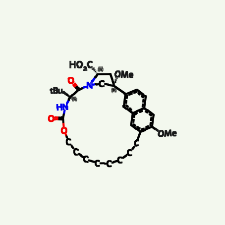 COc1cc2ccc3cc2cc1CCCCCCCCOC(=O)N[C@@H](C(C)(C)C)C(=O)N1C[C@@]3(OC)C[C@H]1C(=O)O